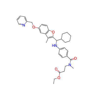 CCOC(=O)CCN(C)C(=O)c1ccc(NC(c2oc3ccc(OCc4ccccn4)cc3c2C)C2CCCCC2)cc1